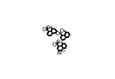 Cc1cccc2cccc(C(=O)[O-])c12.Cc1cccc2cccc(C(=O)[O-])c12.Cc1cccc2cccc(C(=O)[O-])c12.[Al+3]